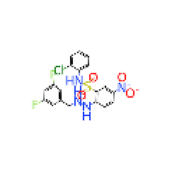 O=[N+]([O-])c1ccc(NNCc2cc(F)cc(F)c2)c(S(=O)(=O)Nc2ccccc2Cl)c1